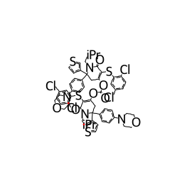 CC(C)CN1C(=O)C(Sc2cc(Cl)ccc2Cl)=C(OC(=O)OC2=C(Sc3cc(Cl)ccc3Cl)C(=O)N(CC(C)C)C(c3ccc(N4CCOCC4)cc3)(c3ccsc3)C2)CC1(c1ccc(N2CCOCC2)cc1)c1ccsc1